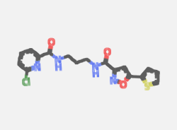 O=C(NCCCNC(=O)c1cccc(Cl)n1)c1cc(-c2cccs2)on1